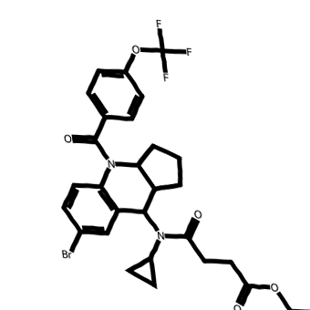 CCOC(=O)CCC(=O)N(C1CC1)C1c2cc(Br)ccc2N(C(=O)c2ccc(OC(F)(F)F)cc2)C2CCCC21